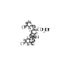 CCOC(=O)c1cc(NS(=O)(=O)c2ccc(Cl)cc2Cl)ccc1Oc1cncc(Cl)c1